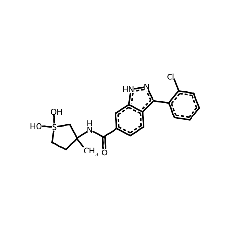 CC1(NC(=O)c2ccc3c(-c4ccccc4Cl)n[nH]c3c2)CCS(O)(O)C1